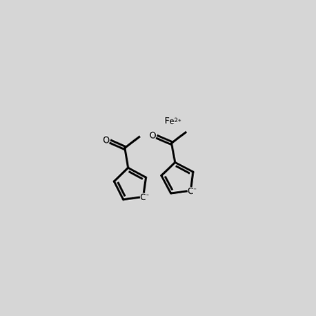 CC(=O)c1cc[cH-]c1.CC(=O)c1cc[cH-]c1.[Fe+2]